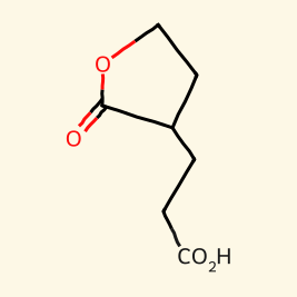 O=C(O)CCC1CCOC1=O